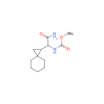 CC(C)(C)OC(=O)NC(C(N)=O)C1CC12CCCCC2